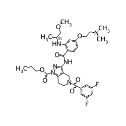 CCCOC(=O)n1nc(NC(=O)c2ccc(OCCN(C)C)cc2N[C@@H](C)COC)c2c1CCN(S(=O)(=O)c1cc(F)cc(F)c1)C2